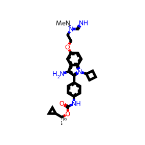 CNN(C=N)CCOc1ccc2c(c1)c(N)c(-c1ccc(NC(=O)O[C@H](C)C3CC3)cc1)n2C1CCC1